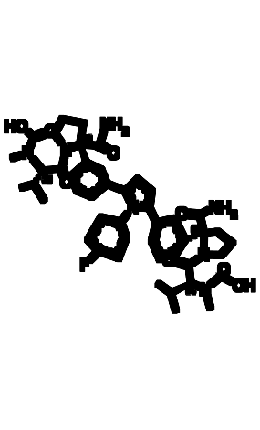 CC(C)[C@@H](C(=O)N1CCC[C@@]1(C(N)=O)c1cccc(-c2ccc(-c3cccc([C@]4(C(N)=O)CCCN4C(=O)[C@H](C(C)C)N(C)C(=O)O)c3)n2-c2ccc(F)cc2)c1)N(C)C(=O)O